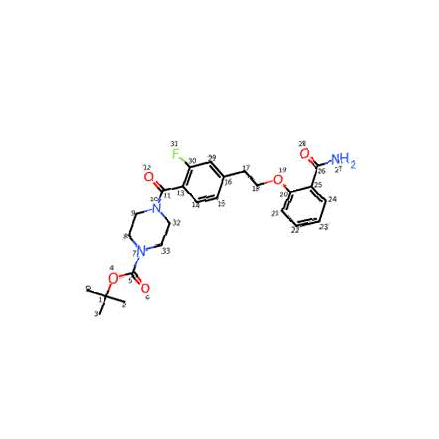 CC(C)(C)OC(=O)N1CCN(C(=O)c2ccc(CCOc3ccccc3C(N)=O)cc2F)CC1